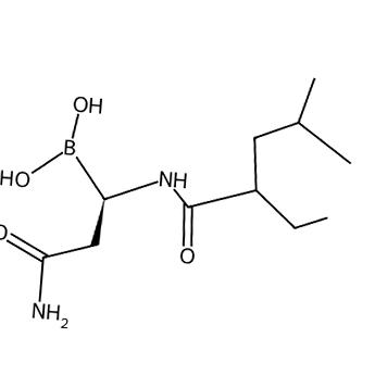 CCC(CC(C)C)C(=O)N[C@@H](CC(N)=O)B(O)O